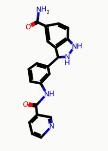 NC(=O)c1ccc2c(c1)C(c1cccc(NC(=O)c3cccnc3)c1)NN2